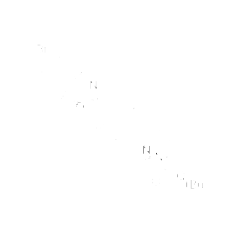 CC(C)(C)OC(=O)n1ccc(-c2ccc(-c3nc4cc(Br)ccc4o3)cc2)n1